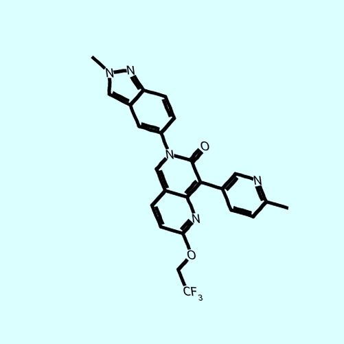 Cc1ccc(-c2c(=O)n(-c3ccc4nn(C)cc4c3)cc3ccc(OCC(F)(F)F)nc23)cn1